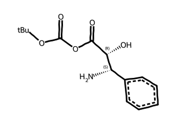 CC(C)(C)OC(=O)OC(=O)[C@H](O)[C@@H](N)c1ccccc1